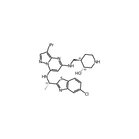 CC(C)c1cnn2c(N[C@@H](C)c3nc4cc(Cl)ccc4s3)cc(NC[C@H]3CCNC[C@@H]3O)nc12